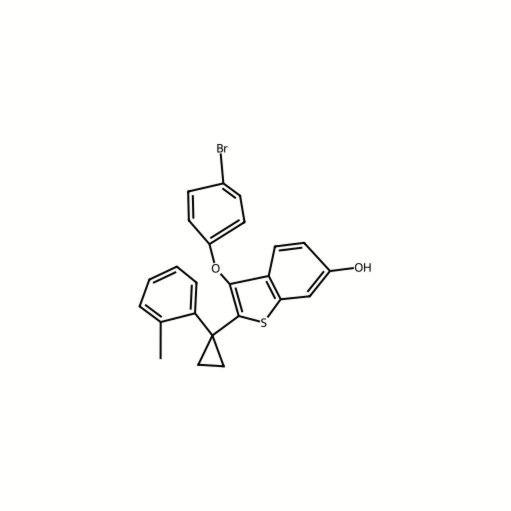 Cc1ccccc1C1(c2sc3cc(O)ccc3c2Oc2ccc(Br)cc2)CC1